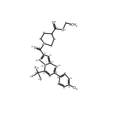 CCOC(=O)C1CCN(C(=O)c2cc3nc(-c4ccc(Cl)cc4)cc(C(F)(F)F)n3n2)CC1